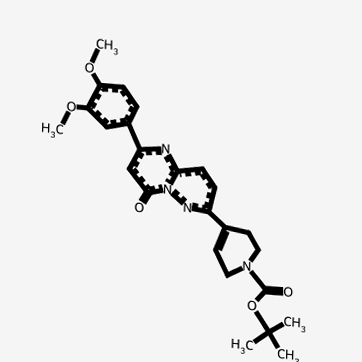 COc1ccc(-c2cc(=O)n3nc(C4=CCN(C(=O)OC(C)(C)C)CC4)ccc3n2)cc1OC